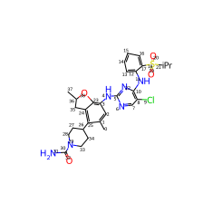 Cc1cc(Nc2ncc(Cl)c(Nc3ccccc3S(=O)(=O)C(C)C)n2)c2c(c1C1CCN(C(N)=O)CC1)CC(C)O2